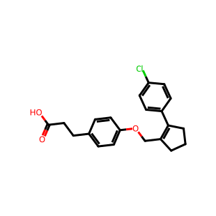 O=C(O)CCc1ccc(OCC2=C(c3ccc(Cl)cc3)CCC2)cc1